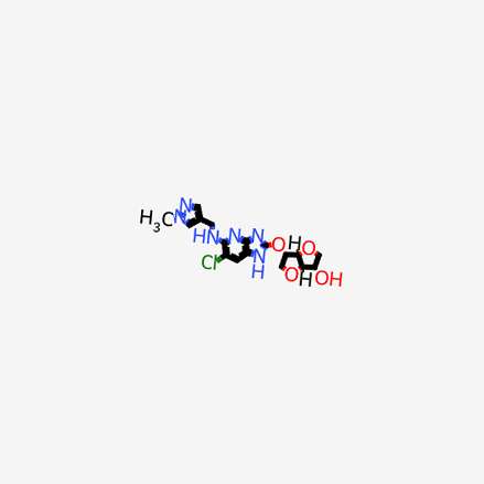 Cn1cc(CNc2nc3nc(O[C@@H]4CO[C@H]5[C@@H]4OC[C@H]5O)[nH]c3cc2Cl)cn1